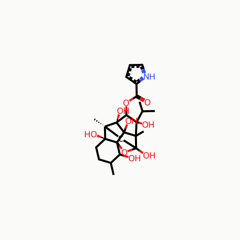 CC1CC[C@@]2(O)C3(OC4(O)C[C@]2(C)[C@]2(O)C(OC(=O)c5ccc[nH]5)C(O)(C(C)C)C4(C)C32O)C1O